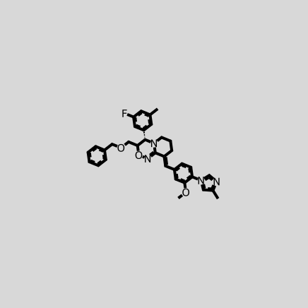 COc1cc(/C=C2\CCCN3C2=NOC(COCc2ccccc2)[C@@H]3c2cc(C)cc(F)c2)ccc1-n1cnc(C)c1